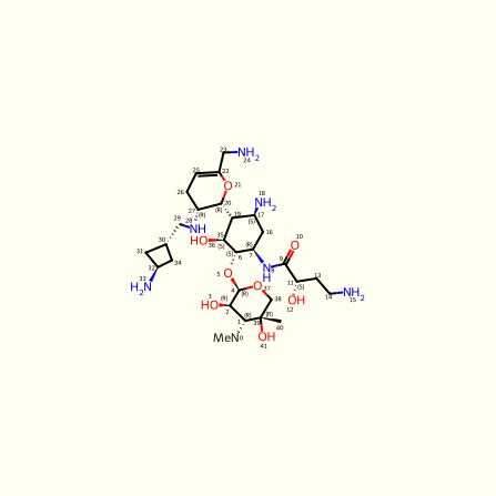 CN[C@@H]1[C@@H](O)[C@@H](O[C@H]2[C@H](NC(=O)[C@@H](O)CCN)C[C@H](N)C([C@H]3OC(CN)=CC[C@H]3NC[C@H]3C[C@H](N)C3)[C@@H]2O)OC[C@]1(C)O